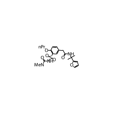 CCCOc1ccc(CC(=O)NC(C)(C)c2ccco2)cc1S(=O)(=O)NC(=O)NC